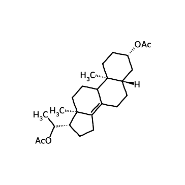 CC(=O)OC(C)[C@H]1CCC2=C3CC[C@H]4C[C@@H](OC(C)=O)CC[C@]4(C)C3CC[C@@]21C